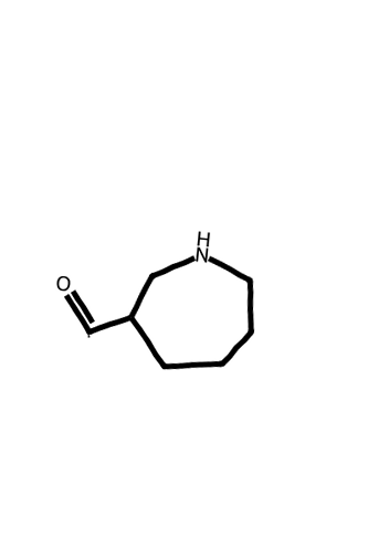 O=[C]C1CCCCNC1